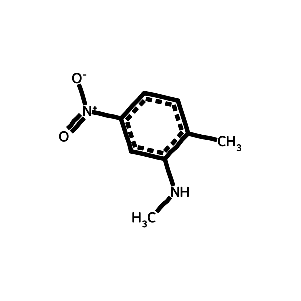 CNc1cc([N+](=O)[O-])ccc1C